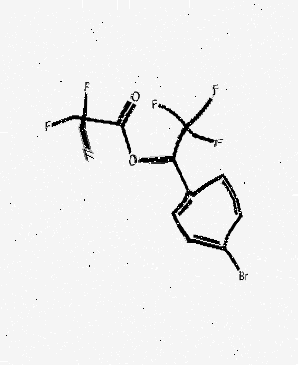 O=C(OC(c1ccc(Br)cc1)C(F)(F)F)C(F)(F)F